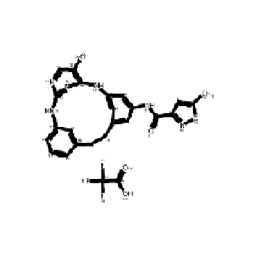 Cc1cc(C(=O)Nc2cc3cc(c2)Nc2nc(ncc2Cl)Nc2cccc(c2)CC3)no1.O=C(O)C(F)(F)F